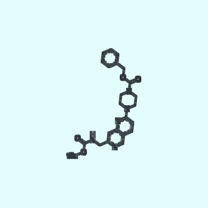 CC(C)(C)OC(=O)NCc1cc2nc(N3CCN(C(=O)OCc4ccccc4)CC3)ccc2cn1